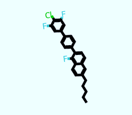 CCCCCc1ccc2c(F)c(-c3ccc(-c4cc(F)c(Cl)c(F)c4)cc3)ccc2c1